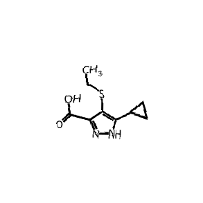 CCSc1c(C(=O)O)n[nH]c1C1CC1